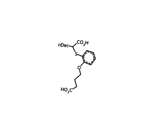 CCCCCCCCCCC(Sc1ccccc1OCCCC(=O)O)C(=O)O